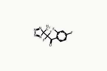 CC1(C(F)(F)C(=O)c2ccc(F)cc2F)N=NN=N1